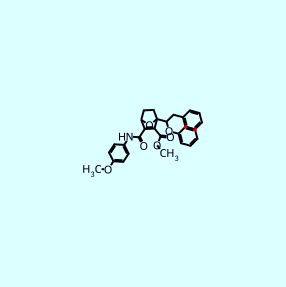 COC(=O)C1=C(C(=O)Nc2ccc(OC)cc2)C2CCC1(C(Cc1ccccc1)Oc1ccccc1)O2